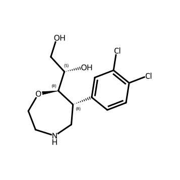 OC[C@H](O)[C@@H]1OCCNC[C@H]1c1ccc(Cl)c(Cl)c1